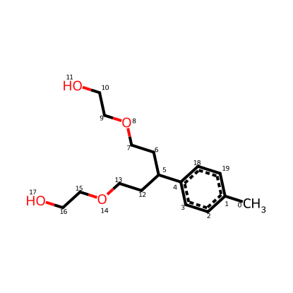 Cc1ccc(C(CCOCCO)CCOCCO)cc1